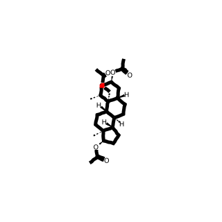 CC(=O)OC[C@]12[C@@H](CC[C@H]3[C@@H]4CC[C@H](OC(C)=O)[C@@]4(C)CC[C@@H]31)C[C@@H](OC(C)=O)C[C@H]2C